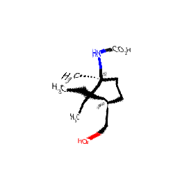 CC1(C)[C@H](CO)CC[C@]1(C)NC(=O)O